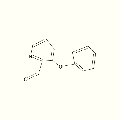 O=[C]c1ncccc1Oc1ccccc1